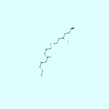 CCCCC(C)CC(C)CC(C)CNCCC(N)CCC=O